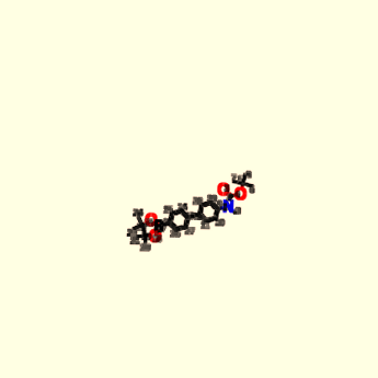 CN(C(=O)OC(C)(C)C)c1ccc(-c2ccc(B3OC(C)(C)C(C)(C)O3)cc2)cc1